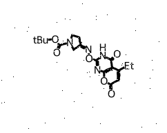 CCc1cc(=O)oc2nc(O/N=C3/CCN(C(=O)OC(C)(C)C)C3)[nH]c(=O)c12